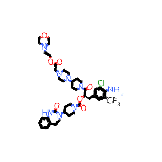 Nc1c(Cl)cc(C[C@@H](OC(=O)N2CCC(N3CCc4ccccc4NC3=O)CC2)C(=O)N2CCC(N3CCN(CC(=O)OCCN4CCOCC4)CC3)CC2)cc1C(F)(F)F